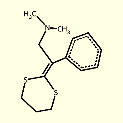 CN(C)CC(=C1SCCCS1)c1ccccc1